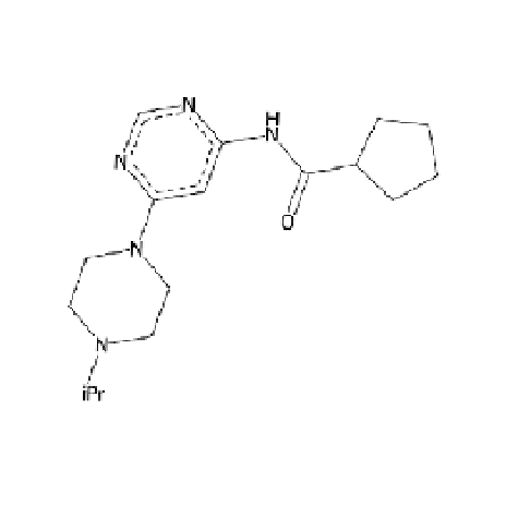 CC(C)N1CCN(c2cc(NC(=O)C3CCCC3)ncn2)CC1